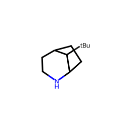 CC(C)(C)C1C2CCNC1CC2